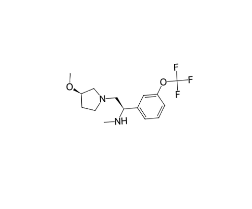 CN[C@@H](CN1CC[C@@H](OC)C1)c1cccc(OC(F)(F)F)c1